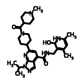 CC1=CC(C)=C(CNC(=O)c2cc(C3CCN(C(=O)C4CCN(C)CC4)CC3)nc3c2cnn3C(C)C)C(O)N1